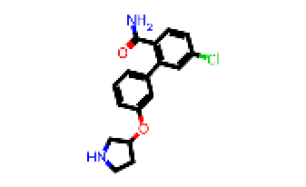 NC(=O)c1ccc(Cl)cc1-c1cccc(OC2CCNC2)c1